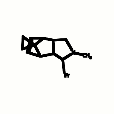 CC(C)C1C2C(CN1C)C1C=CC2C12CC2